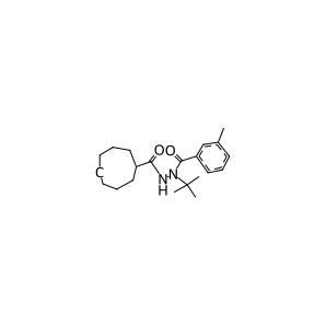 Cc1cccc(C(=O)N(NC(=O)C2CCCCCCC2)C(C)(C)C)c1